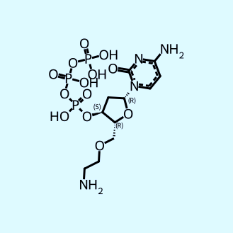 NCCOC[C@H]1O[C@@H](n2ccc(N)nc2=O)C[C@@H]1OP(=O)(O)OP(=O)(O)OP(=O)(O)O